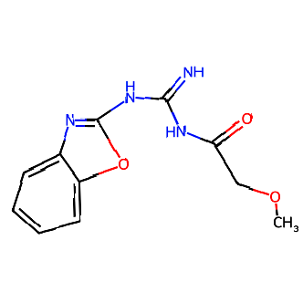 COCC(=O)NC(=N)Nc1nc2ccccc2o1